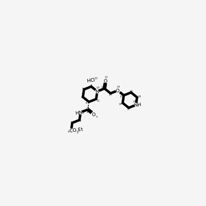 CCOC(=O)CCNC(=O)[C@@H]1CCCN(C(=O)COC2CCNCC2)C1.Cl